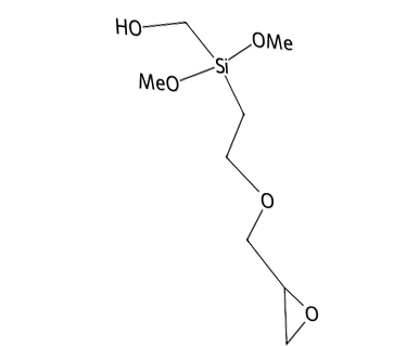 CO[Si](CO)(CCOCC1CO1)OC